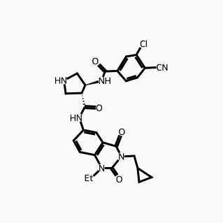 CCn1c(=O)n(CC2CC2)c(=O)c2cc(NC(=O)[C@@H]3CNC[C@H]3NC(=O)c3ccc(C#N)c(Cl)c3)ccc21